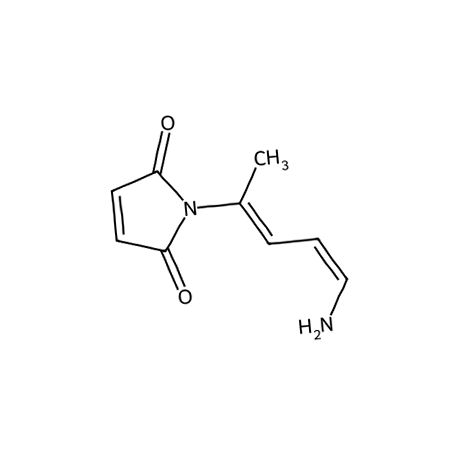 C/C(=C\C=C/N)N1C(=O)C=CC1=O